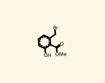 COC(=O)c1c(O)cccc1CBr